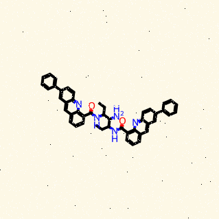 CCC(NC(=O)c1cccc2cc3cc(-c4ccccc4)ccc3nc12)C(N)C(CC)NC(=O)c1cccc2cc3cc(-c4ccccc4)ccc3nc12